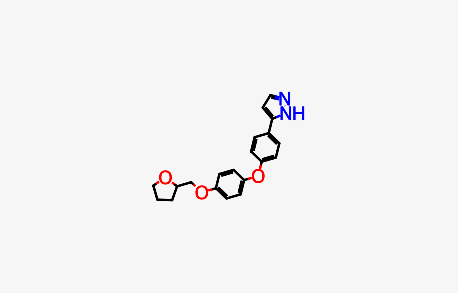 c1cc(-c2ccc(Oc3ccc(OCC4CCCO4)cc3)cc2)[nH]n1